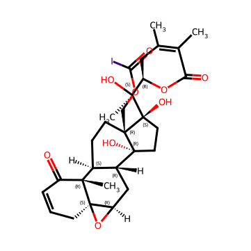 CC1=C(C)C(=O)O[C@@H]([C@](C)(O)[C@]2(O)CC[C@@]3(O)[C@@H]4C[C@H]5O[C@]56CC=CC(=O)[C@]6(C)[C@H]4CC[C@]23COC(=O)I)C1